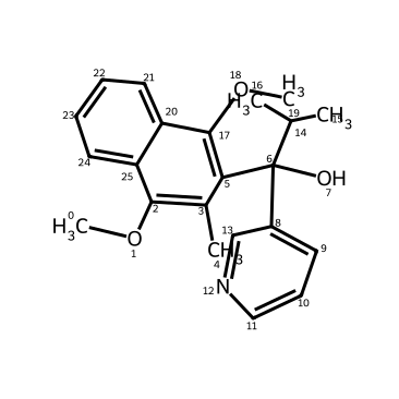 COc1c(C)c(C(O)(c2cccnc2)C(C)C)c(OC)c2ccccc12